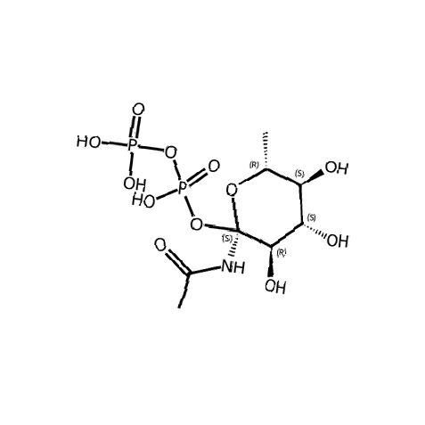 CC(=O)N[C@]1(OP(=O)(O)OP(=O)(O)O)O[C@H](C)[C@@H](O)[C@H](O)[C@H]1O